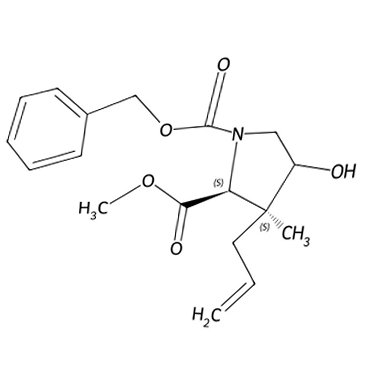 C=CC[C@]1(C)C(O)CN(C(=O)OCc2ccccc2)[C@@H]1C(=O)OC